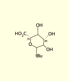 CC(C)(C)C1O[C@H](C(=O)O)C(O)[C@H](O)C1O